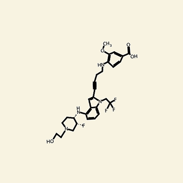 COc1cc(C(=O)O)ccc1NCCC#Cc1cc2c(N[C@H]3CCN(CCO)C[C@H]3F)cccc2n1CC(F)(F)F